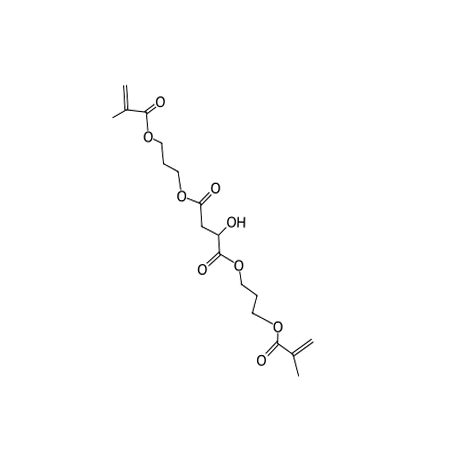 C=C(C)C(=O)OCCCOC(=O)CC(O)C(=O)OCCCOC(=O)C(=C)C